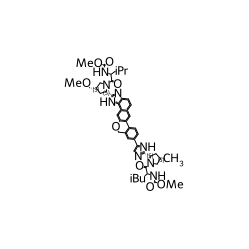 CCC(C)C(NC(=O)OC)C(=O)N1C[C@@H](C)C[C@H]1c1ncc(-c2ccc3c(c2)COc2cc4c(ccc5nc([C@@H]6C[C@H](COC)CN6C(=O)C(NC(=O)OC)C(C)C)[nH]c54)cc2-3)[nH]1